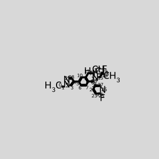 CCn1cc(-c2ccc3c(c2)C[C@@H](C)N(CC(C)(C)F)[C@@H]3c2ccc(F)nc2)cn1